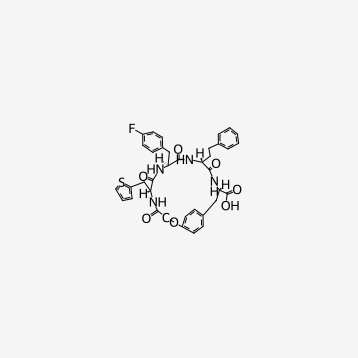 O=C1COc2ccc(cc2)C[C@@H](C(=O)O)NC(=O)[C@@H](CCc2ccccc2)NC(=O)[C@H](Cc2ccc(F)cc2)NC(=O)[C@@H](Cc2cccs2)N1